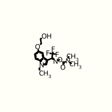 CCn1cc(/C(=N/OC(=O)N(C)C)C(F)(F)F)c2cc(OCCO)ccc21